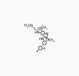 COC/C=C/C(=O)Nc1cc2c(Nc3cc(-c4ccc(F)cc4F)ccc3OC)ncnc2cc1OC